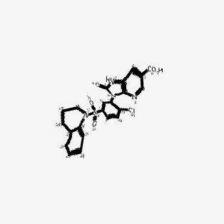 O=C(O)c1cnc2c(c1)[nH]c(=O)n2-c1cc(S(=O)(=O)N2CCCc3ccccc32)ccc1Cl